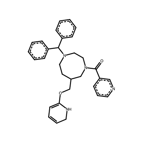 O=C(c1cccnc1)N1CCN(C(c2ccccc2)c2ccccc2)CCC(COC2=CC=CCN2)C1